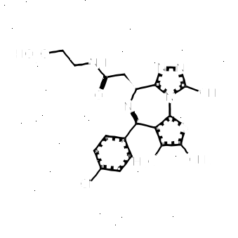 Cc1sc2c(c1C)C(c1ccc(Cl)cc1)=N[C@@H](CC(=O)NCCC(=O)O)c1nnc(C)n1-2